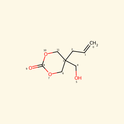 C=CCC1(CO)COC(=O)OC1